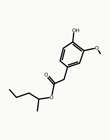 CCCC(C)OC(=O)Cc1ccc(O)c(OC)c1